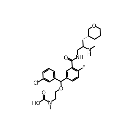 CNC(CNC(=O)c1cc(C(OCCN(C)C(=O)O)c2cccc(Cl)c2)ccc1F)C[C@H]1CCCOC1